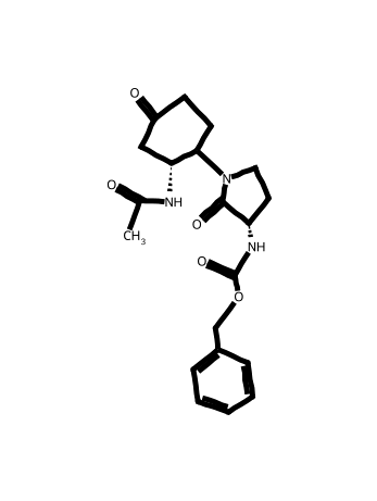 CC(=O)N[C@@H]1CC(=O)CCC1N1CC[C@H](NC(=O)OCc2ccccc2)C1=O